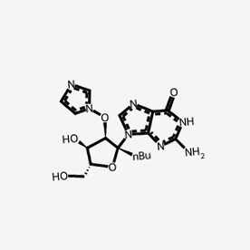 CCCC[C@@]1(n2cnc3c(=O)[nH]c(N)nc32)O[C@H](CO)[C@@H](O)[C@H]1On1ccnc1